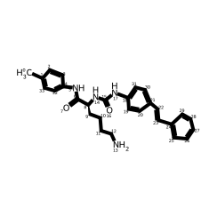 Cc1ccc(NC(=O)[C@H](CCCCN)NC(=O)Nc2ccc(C=Cc3ccccc3)cc2)cc1